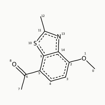 COc1ccc(C(C)=O)c2sc(C)nc12